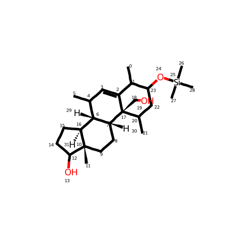 CC1C2=CC(C)[C@@H]3[C@@H](CC[C@]4(C)C(O)CC[C@@H]34)[C@@]2(CO)C(C)CC1O[Si](C)(C)C